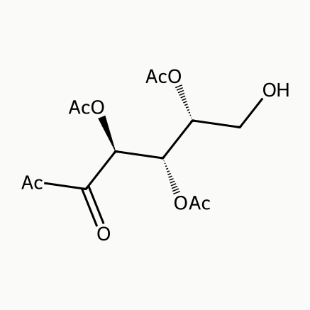 CC(=O)O[C@H]([C@H](OC(C)=O)C(=O)C(C)=O)[C@@H](CO)OC(C)=O